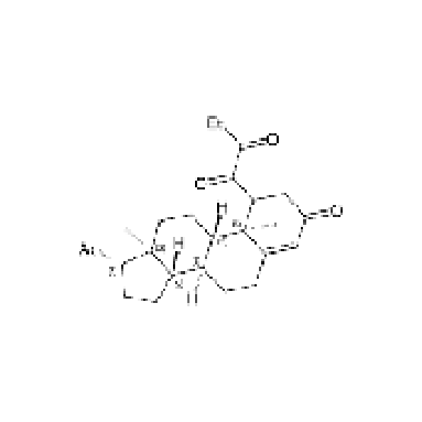 CCC(=O)C(=O)C1CC(=O)C=C2CC[C@H]3[C@@H]4CC[C@H](C(C)=O)[C@@]4(C)CC[C@@H]3[C@]21C